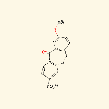 CCCCOc1ccc2c(c1)C(=O)c1ccc(C(=O)O)cc1CC2